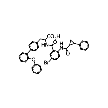 O=C(N[C@@H](Cc1ccc(-c2ccccc2Oc2ccccc2)cc1)C(=O)O)c1cc(Br)ccc1NC(=O)C1CC1c1ccccc1